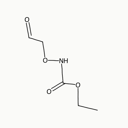 CCOC(=O)NOCC=O